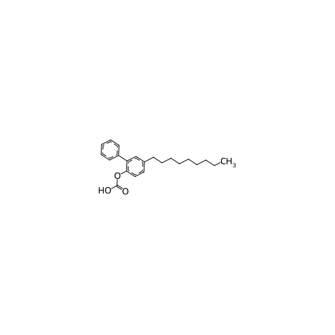 CCCCCCCCCc1ccc(OC(=O)O)c(-c2ccccc2)c1